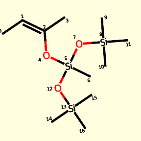 C/C=C(/C)O[Si](C)(O[Si](C)(C)C)O[Si](C)(C)C